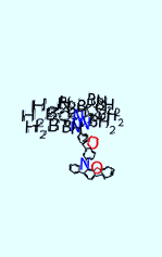 Bc1c(B)c(B)c(-c2nc(-c3ccc4c(c3)oc3ccc(-n5c6ccccc6c6ccc7c8ccccc8oc7c65)cc34)nc(-c3c(B)c(B)c(B)c(B)c3B)n2)c(B)c1B